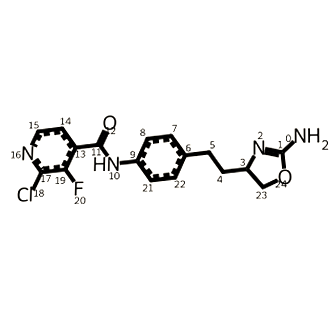 NC1=NC(CCc2ccc(NC(=O)c3ccnc(Cl)c3F)cc2)CO1